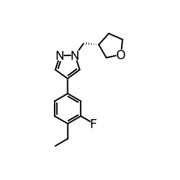 CCc1ccc(-c2cnn(C[C@@H]3CCOC3)c2)cc1F